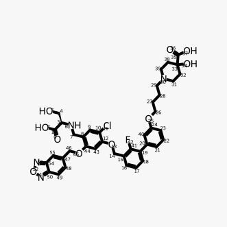 O=C(O)[C@@H](CO)NCc1cc(Cl)c(OCc2cccc(-c3cccc(OCCCCN4CCC(O)(C(=O)O)CC4)c3)c2F)cc1OCc1ccc2nonc2c1